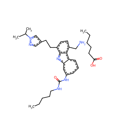 CCCCCC(=O)O.CCCCCNC(=O)Nc1cccc2c3c(CN)ccc(CCc4cnn(C(C)C)c4)c3nc-2c1